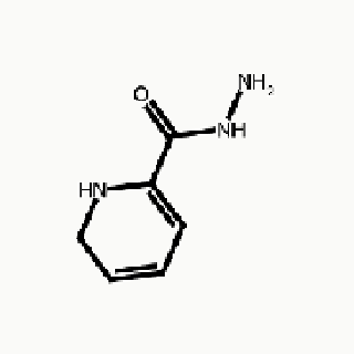 NNC(=O)C1=CC=CCN1